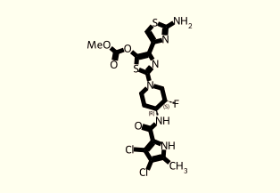 COC(=O)Oc1sc(N2CC[C@@H](NC(=O)c3[nH]c(C)c(Cl)c3Cl)[C@@H](F)C2)nc1-c1csc(N)n1